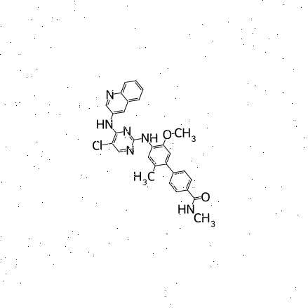 CNC(=O)c1ccc(-c2cc(OC)c(Nc3ncc(Cl)c(Nc4cnc5ccccc5c4)n3)cc2C)cc1